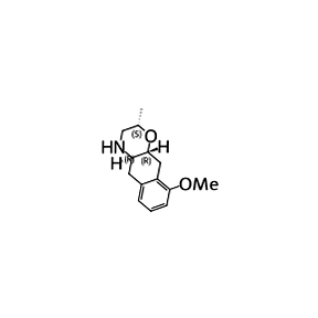 COc1cccc2c1C[C@H]1O[C@@H](C)CN[C@@H]1C2